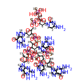 Nc1ccn(C2CC(OP(O)(=S)OCC3OC(n4cnc5c(=O)[nH]c(N)nc54)CC3OP(=O)(S)OCC3OC(n4cnc5c(=O)[nH]c(N)nc54)CC3OP(O)(=S)OCC3OC(n4cnc5c(=O)[nH]c(N)nc54)CC3OP(O)(=S)OCC3OC(n4ccc(N)nc4=O)CC3OP(O)(=S)OCC3OC(n4cnc5c(=O)[nH]c(N)nc54)CC3O)C(COP(O)(O)=S)O2)c(=O)n1